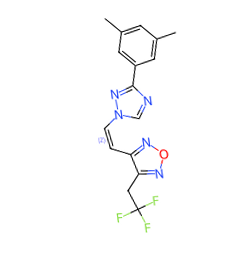 Cc1cc(C)cc(-c2ncn(/C=C\c3nonc3CC(F)(F)F)n2)c1